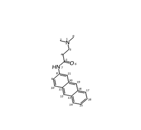 CN(C)CCC(=O)Nc1ccc2cc3ccccc3cc2c1